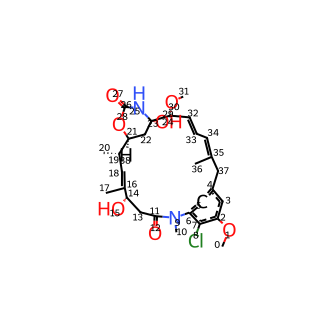 COc1cc2cc(c1Cl)N(C)C(=O)C[C@H](O)/C(C)=C/[C@H](C)[C@@H]1C[C@@](O)(NC(=O)O1)[C@H](OC)/C=C/C=C(\C)C2